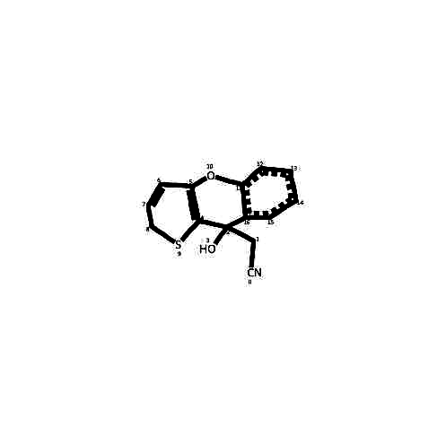 N#CCC1(O)C2=C(C=CCS2)Oc2ccccc21